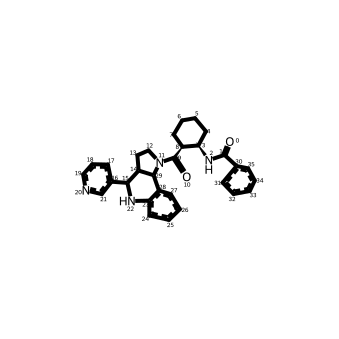 O=C(N[C@@H]1CCCC[C@@H]1C(=O)N1CCC2C(c3cccnc3)Nc3ccccc3C21)c1ccccc1